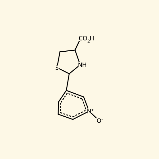 O=C(O)C1CSC(c2ccc[n+]([O-])c2)N1